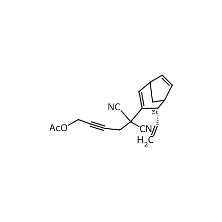 C=C[C@@H]1C(C(C#N)(C#N)CC#CCOC(C)=O)=CC2C=CC1C2